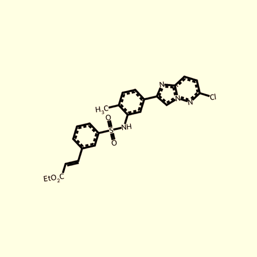 CCOC(=O)C=Cc1cccc(S(=O)(=O)Nc2cc(-c3cn4nc(Cl)ccc4n3)ccc2C)c1